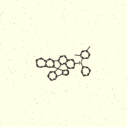 Cc1ccc(N(c2ccccc2)c2ccc3c4c(ccc3c2)-c2cc3ccccc3cc2C42c3ccccc3-c3ccccc32)c(C)c1